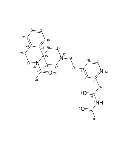 CC(=O)NC(=O)Cc1cc(CCN2CCC3(CC2)c2ccccc2CCN3C(C)=O)ccn1